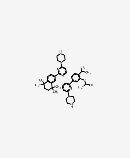 CC(C)Oc1cc(-c2cccc(N3CCNCC3)n2)ccc1C(C)C.CC1(C)CCC(C)(C)c2cc(-c3nccc(N4CCNCC4)n3)ccc21